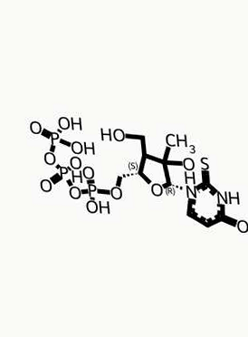 CC1(O)C(CO)[C@@H](COP(=O)(O)OP(=O)(O)OP(=O)(O)O)O[C@H]1n1ccc(=O)[nH]c1=S